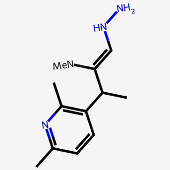 CN/C(=C\NN)C(C)c1ccc(C)nc1C